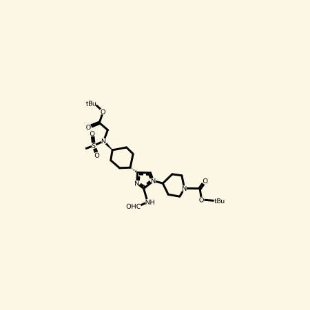 CC(C)(C)OC(=O)CN([C@H]1CC[C@H](c2cn(C3CCN(C(=O)OC(C)(C)C)CC3)c(NC=O)n2)CC1)S(C)(=O)=O